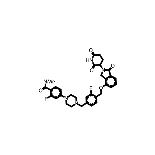 CNC(=O)c1ccc(N2CCN(Cc3ccc(COc4cccc5c4CN(C4CCC(=O)NC4=O)C5=O)c(F)c3)CC2)cc1F